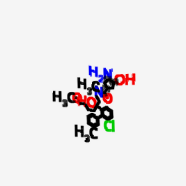 COCCCCC(O)(CCN(C)C(=O)[C@H]1C[C@@H](N)[C@@H](O)C1)c1cccc(Cl)c1-c1cccc(C)c1